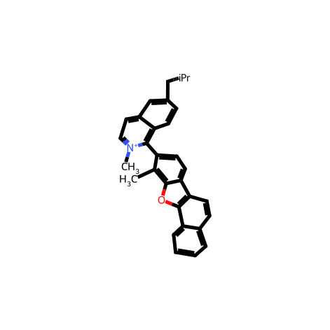 Cc1c(-c2c3ccc(CC(C)C)cc3cc[n+]2C)ccc2c1oc1c3ccccc3ccc21